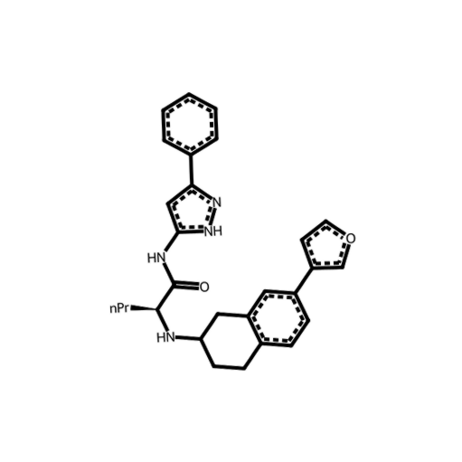 CCC[C@H](NC1CCc2ccc(-c3ccoc3)cc2C1)C(=O)Nc1cc(-c2ccccc2)n[nH]1